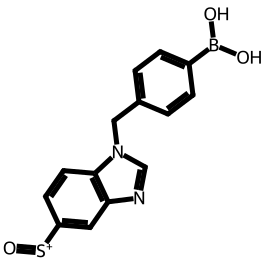 O=[S+]c1ccc2c(c1)ncn2Cc1ccc(B(O)O)cc1